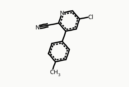 Cc1ccc(-c2cc(Cl)cnc2C#N)cc1